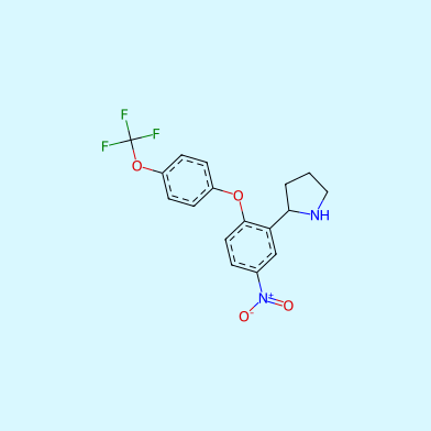 O=[N+]([O-])c1ccc(Oc2ccc(OC(F)(F)F)cc2)c(C2CCCN2)c1